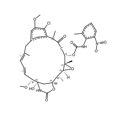 COc1cc2cc(c1Cl)N(C)C(=O)C[C@H](OC(=O)Nc1c(C)cccc1[N+](=O)[O-])[C@]1(C)O[C@H]1[C@H](C)[C@@H]1C[C@@](O)(NC(=O)O1)[C@H](OC)/C=C/C=C(\C)C2